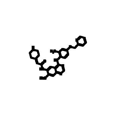 COc1cc2ncnc(Nc3ccc(OCc4ccccn4)cc3C)c2cc1NC(=O)C=C1CCNCC1